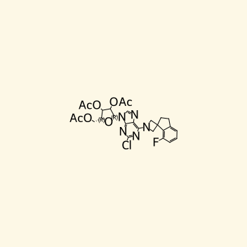 CC(=O)OC[C@H]1O[C@@H](n2cnc3c(N4CC5(CCc6cccc(F)c65)C4)nc(Cl)nc32)C(OC(C)=O)C1OC(C)=O